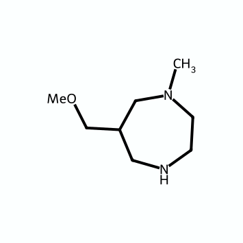 COCC1CNCCN(C)C1